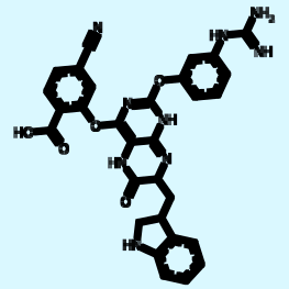 N#Cc1ccc(C(=O)O)c(OC2=C3NC(=O)C(CC4CNc5ccccc54)N=C3NC(Oc3cccc(NC(=N)N)c3)=N2)c1